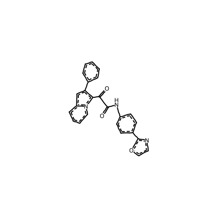 O=C(Nc1ccc(-c2ncco2)cc1)C(=O)c1c(-c2ccccc2)cc2ccccn12